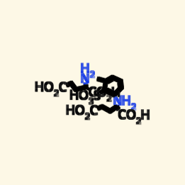 Cc1ccccc1S(=O)(=O)O.NC(CCC(=O)O)C(=O)O.N[C@@H](CCC(=O)O)C(=O)O